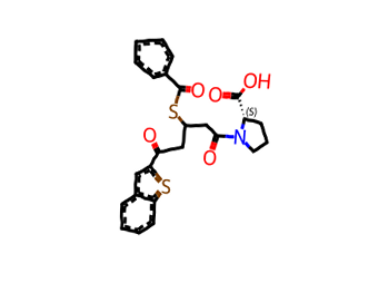 O=C(SC(CC(=O)c1cc2ccccc2s1)CC(=O)N1CCC[C@H]1C(=O)O)c1ccccc1